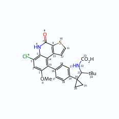 COc1cc(Cl)c2[nH]c(=O)c3sccc3c2c1-c1ccc(C2(C(NC(=O)O)C(C)(C)C)CC2)cc1